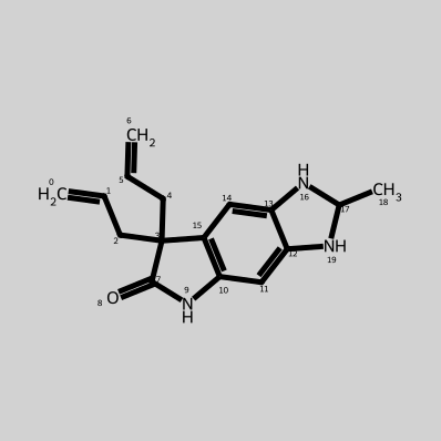 C=CCC1(CC=C)C(=O)Nc2cc3c(cc21)NC(C)N3